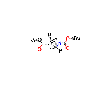 COC(=O)C1C[C@@H]2C[C@H]1CN2C(=O)OC(C)(C)C